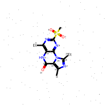 CCc1nc(S(C)(=O)=O)nc2c1[nH]c(=O)c1c(C)nc(CC)n12